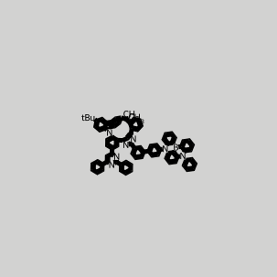 CC(C)(C)c1ccc2c(c1)c1cc3ccc1n2-c1ccc(-c2cc(-c4ccccc4)nc(-c4ccccc4)n2)cc1-c1cc(nc(-c2cccc(-c4ccc(N5c6ccccc6B6c7ccccc7N(c7ccccc7)c7cccc5c76)cc4)c2)n1)-c1ccccc1C3(C)C